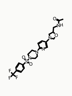 CC(=O)NCC1CN(c2ccc(N3CCN(S(=O)(=O)c4ccc(C(F)(F)F)cc4)CC3)nc2)CO1